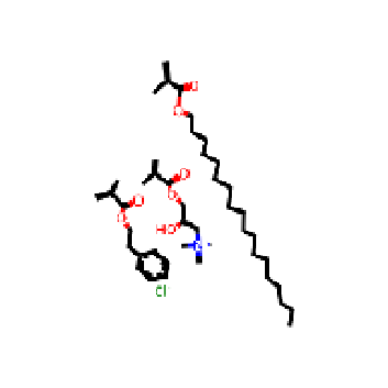 C=C(C)C(=O)OCC(O)C[N+](C)(C)C.C=C(C)C(=O)OCCCCCCCCCCCCCCCCCC.C=C(C)C(=O)OCCc1ccccc1.[Cl-]